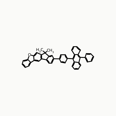 CC1(C)c2cc(-c3ccc(-c4c5ccccc5c(-c5ccccc5)c5ccccc45)cc3)ccc2-c2cc3c(cc21)oc1ccccc13